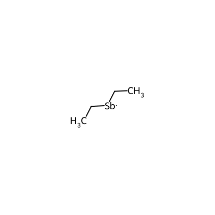 C[CH2][Sb][CH2]C